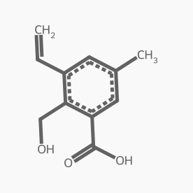 C=Cc1cc(C)cc(C(=O)O)c1CO